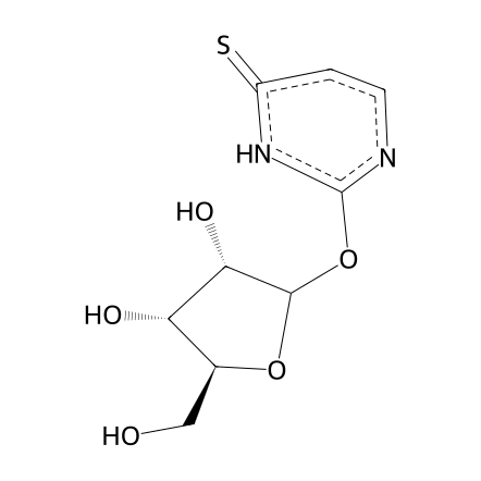 OC[C@@H]1OC(Oc2nccc(=S)[nH]2)[C@@H](O)[C@H]1O